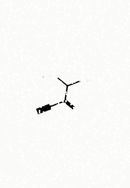 C#CC(=O)C(CCCCCC)CCCCCCC